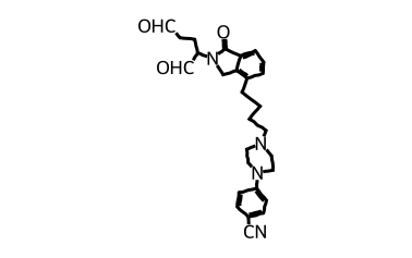 N#Cc1ccc(N2CCN(CCCCc3cccc4c3CN(C(C=O)CCC=O)C4=O)CC2)cc1